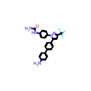 NC(=O)Nc1ccc(-n2nc(C(F)(F)F)cc2-c2ccc(-c3ccc(N)cc3)cc2)cc1